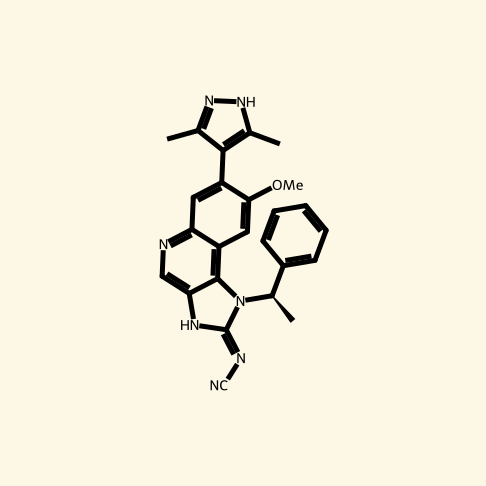 COc1cc2c(cc1-c1c(C)n[nH]c1C)ncc1[nH]c(=NC#N)n([C@H](C)c3ccccc3)c12